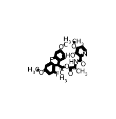 COc1ccc(C(c2ccc(OC)cc2F)[C@H](C)OC(=O)[C@H](C)NC(=O)c2nccc(OC)c2O)c(F)c1